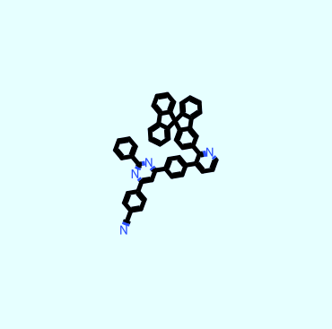 N#Cc1ccc(-c2cc(-c3ccc(-c4cccnc4-c4ccc5c(c4)-c4ccccc4C54c5ccccc5-c5ccccc54)cc3)nc(-c3ccccc3)n2)cc1